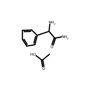 CC(=O)O.NC(=O)C(N)c1ccccc1